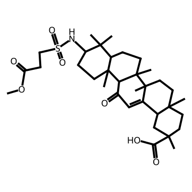 COC(=O)CCS(=O)(=O)NC1CCC2(C)C(CCC3(C)C2C(=O)C=C2C4CC(C)(C(=O)O)CCC4(C)CCC23C)C1(C)C